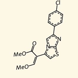 CO/C=C(\C(=O)OC)c1csc2nc(-c3ccc(Cl)cc3)cn12